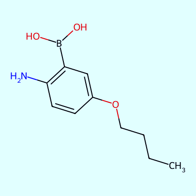 CCCCOc1ccc(N)c(B(O)O)c1